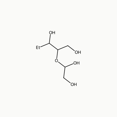 CCC(O)C(CO)OC(O)CO